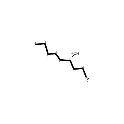 CCCCC[C@H](O)CCBr